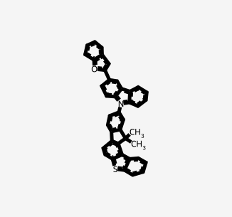 CC1(C)c2cc(-n3c4ccccc4c4cc(-c5cc6ccccc6o5)ccc43)ccc2-c2ccc3sc4ccccc4c3c21